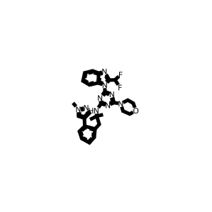 Cn1cc(-c2ccccc2CC(C)(C)Nc2nc(N3CCOCC3)nc(-n3c(C(F)F)nc4ccccc43)n2)cn1